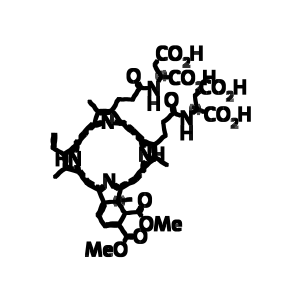 C=Cc1c(C)c2cc3nc(cc4[nH]c(cc5nc(cc1[nH]2)C(C)=C5CCC(=O)N[C@@H](CC(=O)O)C(=O)O)c(CCC(=O)N[C@@H](CC(=O)O)C(=O)O)c4C)[C@@]1(C)C3=CC=C(C(=O)OC)C1C(=O)OC